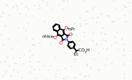 CCCCCCOc1c2c(c(OCCC)c3ccccc13)C(=O)N(c1ccc(C(CC)C(=O)O)cc1)C2=O